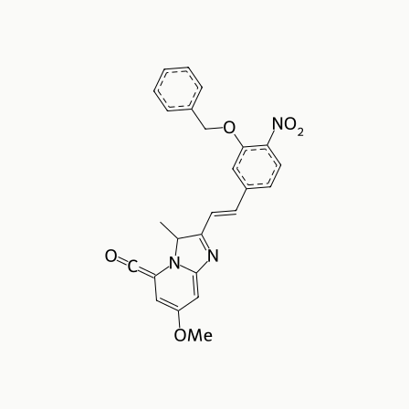 COC1=CC(=C=O)N2C(=C1)N=C(C=Cc1ccc([N+](=O)[O-])c(OCc3ccccc3)c1)C2C